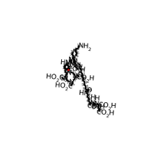 NCCCN1CCN(c2nc(Nc3ccc(CC4CN(CC(=O)O)CCN(CC(=O)O)CCN(CC(=O)O)CCN4CC(=O)O)cc3)nc(N3CCN(CCCCCCCCCCC(=O)NCCCCC(NC(=O)NC(CCC(=O)O)C(=O)O)C(=O)O)CC3)n2)CC1